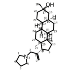 C=C(CN1CCCC1)[C@H]1CC[C@H]2[C@@H]3CC[C@@H]4C[C@@](C)(O)CC[C@@H]4[C@H]3CC[C@]12C